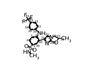 CNS(=O)(=O)c1ccc(Nc2ccc(C(F)(F)F)cc2)c(-c2cn3c(n2)OC(C)C3)c1